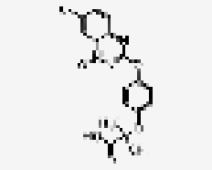 CC(C)(Oc1ccc(Oc2nc3ccc(Cl)cc3[n+]([O-])n2)cc1)C(=O)O